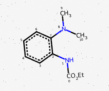 CCOC(=O)Nc1ccccc1N(C)C